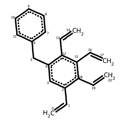 C=Cc1cc(Cc2ccccc2)c(C=C)c(C=C)c1C=C